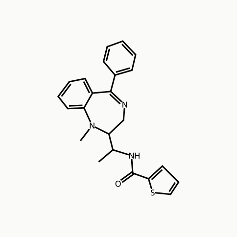 CC(NC(=O)c1cccs1)C1CN=C(c2ccccc2)c2ccccc2N1C